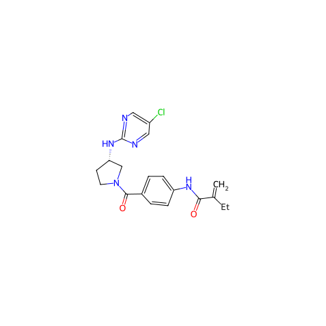 C=C(CC)C(=O)Nc1ccc(C(=O)N2CC[C@H](Nc3ncc(Cl)cn3)C2)cc1